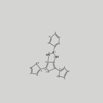 c1ccc(B2Nc3c(-c4cccs4)sc(-c4cccs4)c3N2)cc1